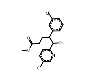 COC(=O)CCC(c1cccc(Cl)c1)C(O)c1ccc(Cl)cn1